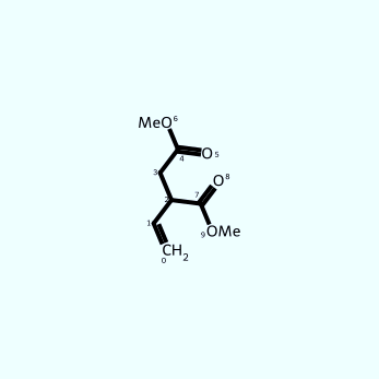 C=CC(CC(=O)OC)C(=O)OC